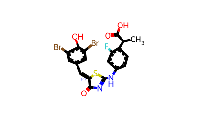 CC(C(=O)O)c1ccc(NC2=NC(=O)/C(=C/c3cc(Br)c(O)c(Br)c3)S2)cc1F